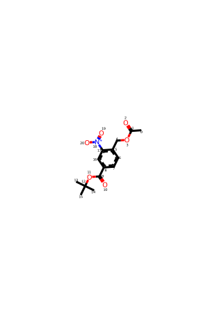 CC(=O)OCc1ccc(C(=O)OC(C)(C)C)cc1[N+](=O)[O-]